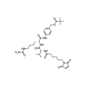 CC(C)[C@@H](NC(=O)CCCCCN1C(=O)C=CC1=O)C(=O)N[C@H](CCCCNC(N)=O)C(=O)Nc1ccc(COC(=O)C(C)(C)C)cc1